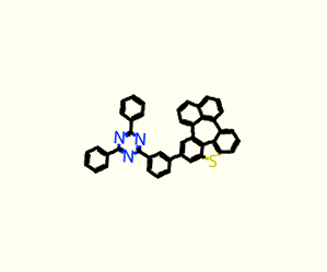 c1ccc(-c2nc(-c3ccccc3)nc(-c3cccc(-c4cc5c6c(c4)sc4cccc(c46)-c4cccc6cccc-5c46)c3)n2)cc1